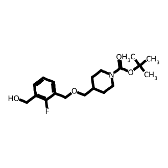 CC(C)(C)OC(=O)N1CCC(COCc2cccc(CO)c2F)CC1